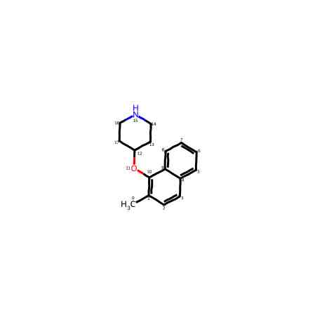 Cc1ccc2ccccc2c1OC1CCNCC1